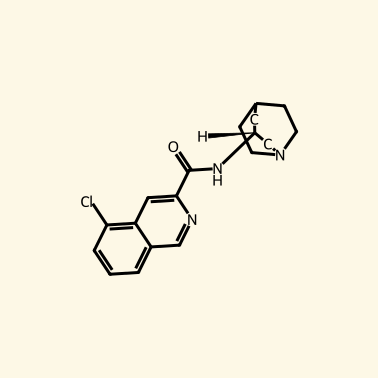 O=C(N[C@@H]1CC2CCN(CC2)C1)c1cc2c(Cl)cccc2cn1